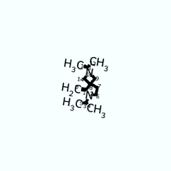 C=C1N(C(C)C)CCC12CN(C(C)C)C2